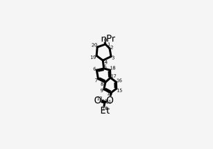 CCCC1CCC(c2ccc3cc(OC(=O)CC)ccc3c2)CC1